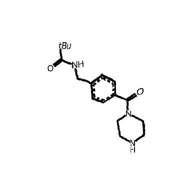 CC(C)(C)C(=O)NCc1ccc(C(=O)N2CCNCC2)cc1